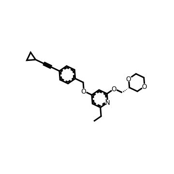 CCc1cc(OCc2ccc(C#CC3CC3)cc2)cc(OC[C@H]2COCCO2)n1